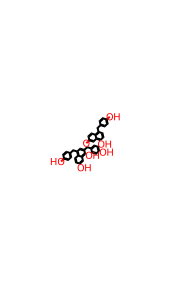 Oc1ccc(Cc2ccc(O)c3cc(OC(c4ccc(O)cc4)c4cc(Cc5ccc(O)cc5)c5ccc(O)cc5c4O)ccc23)cc1